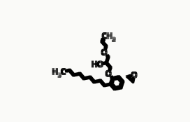 C1CO1.C=CCOCC(O)COc1ccccc1CCCCCCCCC